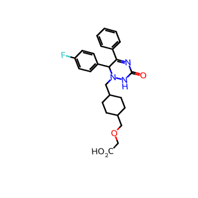 O=C(O)COCC1CCC(CN2NC(=O)N=C(c3ccccc3)C2c2ccc(F)cc2)CC1